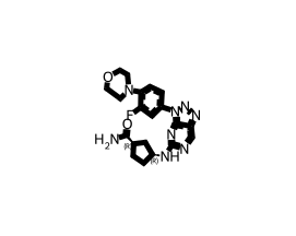 NC(=O)[C@@H]1CC[C@@H](Nc2ncc3nnn(-c4ccc(N5CCOCC5)c(F)c4)c3n2)C1